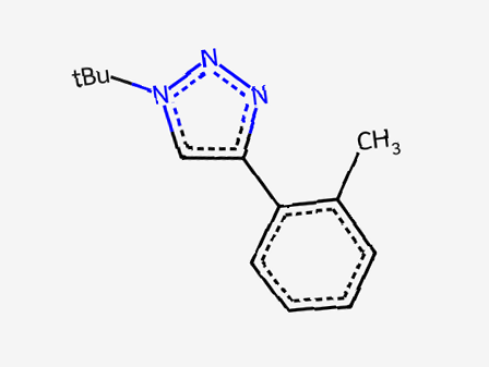 Cc1ccccc1-c1cn(C(C)(C)C)nn1